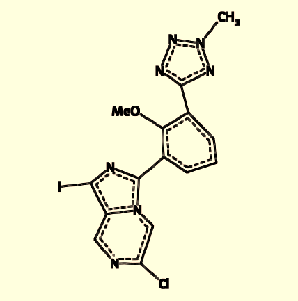 COc1c(-c2nnn(C)n2)cccc1-c1nc(I)c2cnc(Cl)cn12